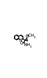 COC1CC1(C(N)=O)c1ccc2ccccc2n1